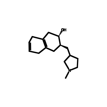 CN1CCC(C[C@H]2CC3=C(CC=CC3)C[C@@H]2O)C1